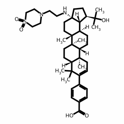 CC(C)(O)[C@@H]1CC[C@]2(NCCN3CCS(=O)(=O)CC3)CC[C@]3(C)[C@H](CC[C@@H]4[C@@]5(C)CC=C(c6ccc(C(=O)O)cc6)C(C)(C)[C@@H]5CC[C@]43C)[C@@H]12